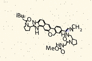 C=N/C=C(\NCC1CCCN1C(=O)CNC(=O)OC)c1ccc2c(c1)COc1cc3c(ccc4nc(C5CCCN5C(=O)C[C@@H](C)CC)[nH]c43)cc1-2